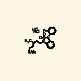 CNCCN(C)CCN1c2ccccc2N(c2ccccc2F)S1(=O)=O.Cl.Cl